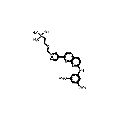 COc1cc(Nc2ccc3ncc(-c4cnn(COCC[Si](C)(C)C(C)(C)C)c4)nc3n2)cc(OC)c1